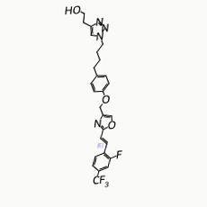 OCCc1cn(CCCCc2ccc(OCc3coc(/C=C/c4ccc(C(F)(F)F)cc4F)n3)cc2)nn1